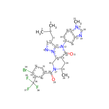 CC(C)Cc1cnn2c3c(c(=O)n(-c4ccc5c(c4)ncn5C)c12)CC(C)N(C(=O)c1ccc(Br)c(C(F)(F)F)c1)C3